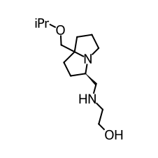 CC(C)OCC12CCCN1[C@@H](CNCCO)CC2